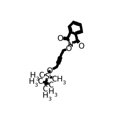 CC(C)(C)[Si](C)(C)OCC#CCON1C(=O)c2ccccc2C1=O